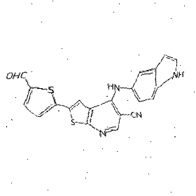 N#Cc1cnc2sc(-c3ccc(C=O)s3)cc2c1Nc1ccc2[nH]ccc2c1